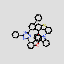 c1ccc(-c2ccc(-c3nc(-c4ccccc4)nc(-c4cccc5oc6ccc(-c7cccc8sc9cccc(-n%10c%11ccccc%11c%11ccccc%11%10)c9c78)cc6c45)n3)cc2)cc1